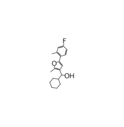 Cc1cc(F)ccc1-c1cc(C(O)C2CCCCC2)c(C)o1